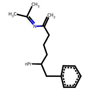 C=C(CCCC(CCC)Cc1ccccc1)N=C(C)C